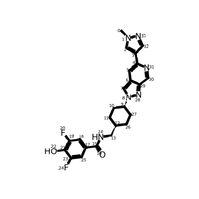 Cn1cc(-c2cc3cn([C@H]4CC[C@H](CNC(=O)c5cc(F)c(O)c(F)c5)CC4)nc3cn2)cn1